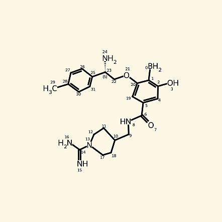 Bc1c(O)cc(C(=O)NCC2CCN(C(=N)N)CC2)cc1OC[C@@H](N)c1ccc(C)cc1